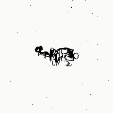 NC(=O)c1nc(Cc2ccc(C(=O)O)o2)[nH]c1NC(=O)NCCc1ccccc1